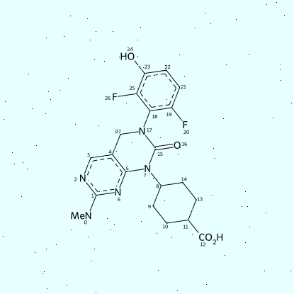 CNc1ncc2c(n1)N(C1CCC(C(=O)O)CC1)C(=O)N(c1c(F)ccc(O)c1F)C2